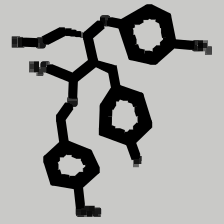 CCOC[C@H](Oc1ccc(C)cc1)[C@@H](Cc1ccc(F)cc1)C(C)OCc1ccc(OC)cc1